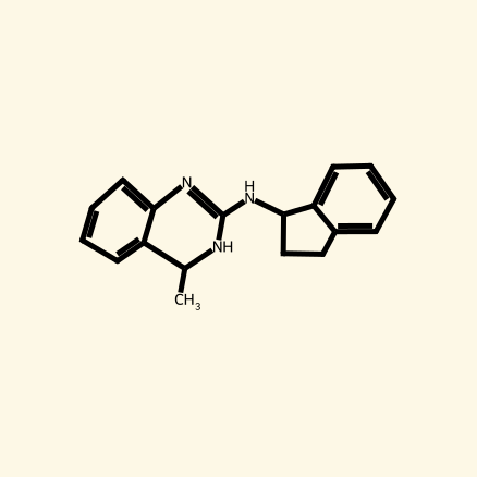 CC1NC(NC2CCc3ccccc32)=Nc2ccccc21